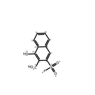 O=C(O)c1c(S(=O)(=O)F)cc2ccccc2c1O